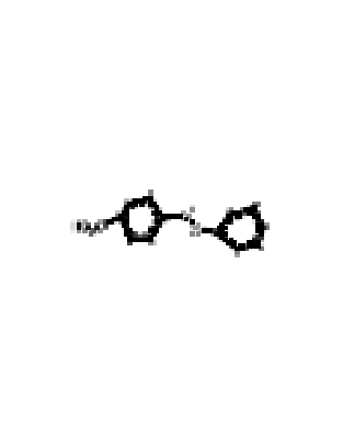 O=C(O)c1ccc(SSc2ccccc2)cc1